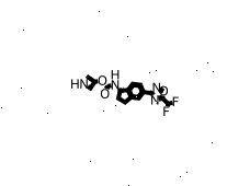 O=C(N[C@@H]1CCc2cc(-c3noc(C(F)F)n3)ccc21)OC1CNC1